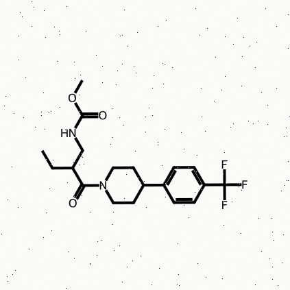 CCC(CNC(=O)OC)C(=O)N1CCC(c2ccc(C(F)(F)F)cc2)CC1